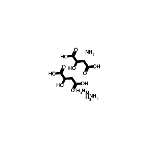 N.N.N.N.O=C(O)CC(O)C(=O)O.O=C(O)CC(O)C(=O)O